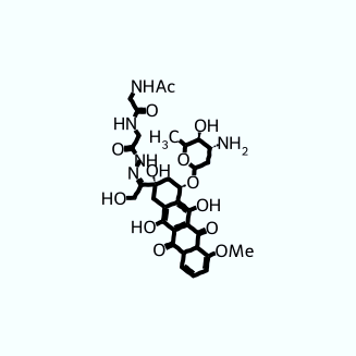 COC1=CC=CC2C(=O)c3c(O)c4c(c(O)c3C(=O)C12)[C@@H](OC1C[C@@H](N)[C@H](O)C(C)O1)C[C@](O)(/C(CO)=N\NC(=O)CNC(=O)CNC(C)=O)C4